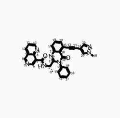 C[C@H](NC(=O)c1cncc2cccnc12)c1nc2cccc(C#Cc3cnn(C)c3)c2c(=O)n1-c1ccccc1